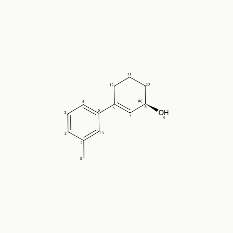 Cc1cccc(C2=C[C@H](O)CCC2)c1